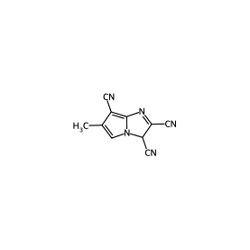 Cc1cn2c(c1C#N)N=C(C#N)C2C#N